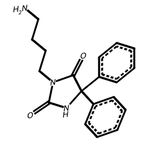 NCCCCN1C(=O)NC(c2ccccc2)(c2ccccc2)C1=O